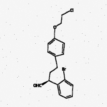 O=C[C@@H](CCc1ccc(OCCCl)cc1)c1ccccc1Br